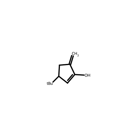 C=C1CC(C(C)(C)C)C=C1O